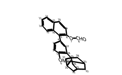 COc1ccc(-c2c(OC=O)ccc3ccccc23)cc1C12CC3CC(CC(C3)C1)C2